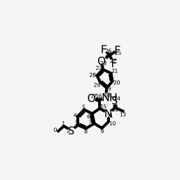 CCSc1ccc2c(c1)CCN(C(C)=S)C2C(=O)Nc1ccc(OC(F)(F)F)cc1